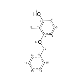 Cc1c(O)cccc1OCc1ccccc1